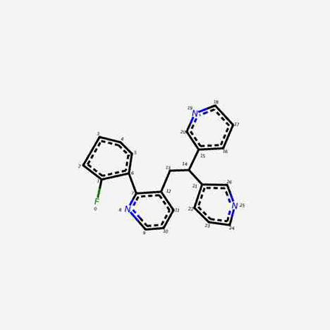 Fc1ccccc1-c1ncccc1CC(c1cccnc1)c1cccnc1